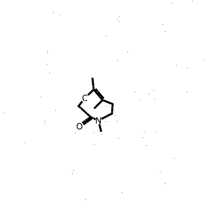 C/C1=C(/C)CCN(C)C(=O)CC1